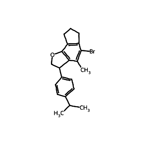 Cc1c(Br)c2c(c3c1C(c1ccc(C(C)C)cc1)CO3)CCC2